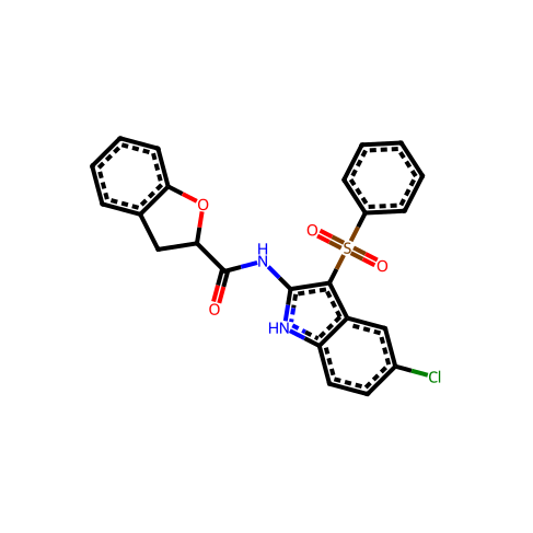 O=C(Nc1[nH]c2ccc(Cl)cc2c1S(=O)(=O)c1ccccc1)C1Cc2ccccc2O1